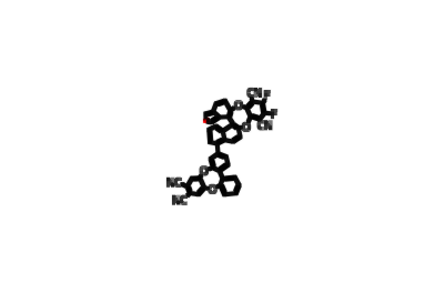 N#Cc1cc2oc3ccccc3c3ccc(-c4cccc5c4ccc4oc6c(C#N)c(F)c(F)c(C#N)c6oc6ccc7ccccc7c6c45)cc3oc2cc1C#N